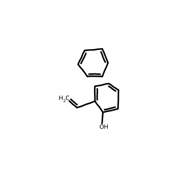 C=Cc1ccccc1O.c1ccccc1